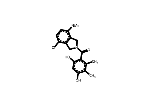 CNc1ccc(Cl)c2c1CN(C(=O)c1c(O)cc(O)c(C)c1C)C2